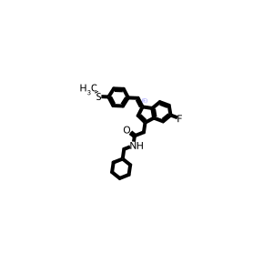 CSc1ccc(/C=C2\C=C(CC(=O)NCC3CCCCC3)c3cc(F)ccc32)cc1